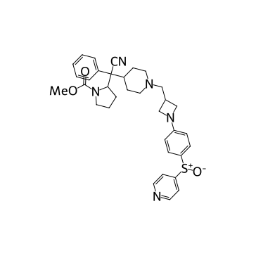 COC(=O)N1CCCC1C(C#N)(c1ccccc1)C1CCN(CC2CN(c3ccc([S+]([O-])c4ccncc4)cc3)C2)CC1